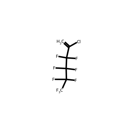 C=C(Cl)C(F)(F)C(F)(F)C(F)(F)C(F)(F)F